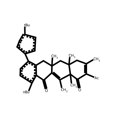 CCCCc1ccc(-c2ccc(C(C)(C)C)cc2)c2c1C(=O)C1=C(C)C3(C)C(=O)C(C(C)=O)=C(C)CC3(C)CC1(C)C2